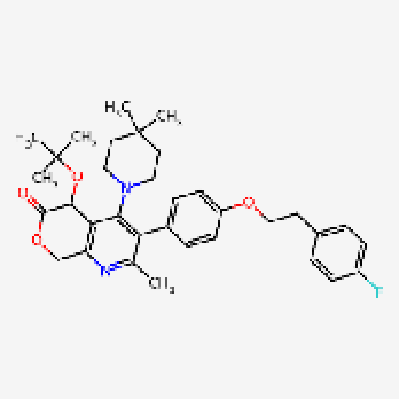 Cc1nc2c(c(N3CCC(C)(C)CC3)c1-c1ccc(OCCc3ccc(F)cc3)cc1)C(OC(C)(C)C)C(=O)OC2